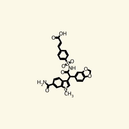 Cn1cc(C(C(=O)NS(=O)(=O)c2ccc(C=CC(=O)O)cc2)c2ccc3c(c2)OCO3)c2ccc(C(N)=O)cc21